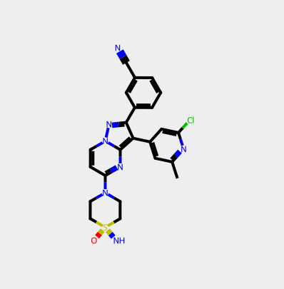 Cc1cc(-c2c(-c3cccc(C#N)c3)nn3ccc(N4CCS(=N)(=O)CC4)nc23)cc(Cl)n1